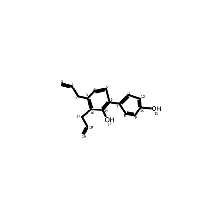 C=CCc1ccc(-c2ccc(O)cc2)c(O)c1CC=C